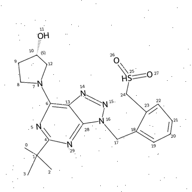 CC(C)(C)c1nc(N2CC[C@H](O)C2)c2nnn(Cc3ccccc3C[SH](=O)=O)c2n1